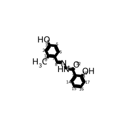 Cc1cc(O)ccc1/C=N/NC(=O)c1ccccc1O